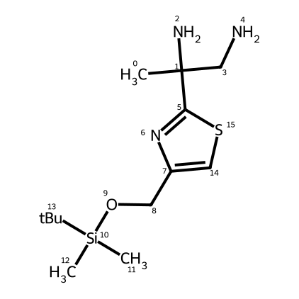 CC(N)(CN)c1nc(CO[Si](C)(C)C(C)(C)C)cs1